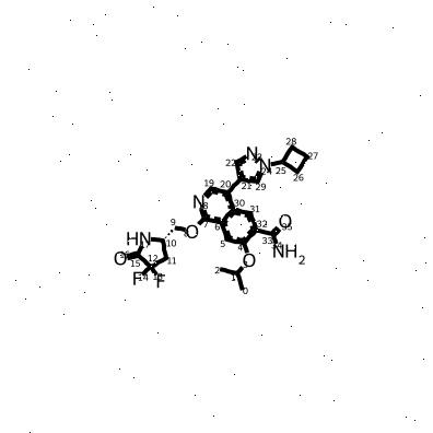 CC(C)Oc1cc2c(OC[C@@H]3CC(F)(F)C(=O)N3)ncc(-c3cnn(C4CCC4)c3)c2cc1C(N)=O